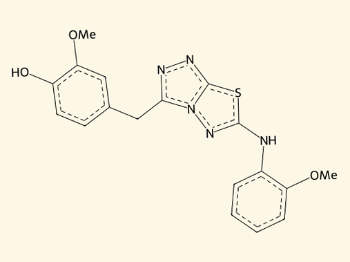 COc1cc(Cc2nnc3sc(Nc4ccccc4OC)nn23)ccc1O